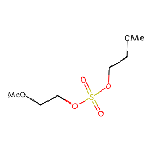 COCCOS(=O)(=O)OCCOC